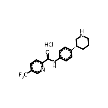 Cl.O=C(Nc1ccc([C@H]2CCCNC2)cc1)c1ccc(C(F)(F)F)cn1